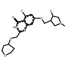 CN1CC(F)C(COc2cc(F)c3c(=O)[nH]c(CSC4CCOCC4)nc3c2)C1